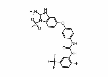 CS(=O)(=O)N1c2ccc(Oc3ccc(NC(=O)Nc4cc(C(F)(F)F)ccc4F)cc3)cc2NC1N